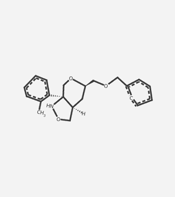 Cc1ccccc1[C@]12CO[C@@H](COCc3ccccc3)C[C@H]1CON2